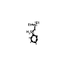 CCN(CC)C[SiH2]c1ccccc1